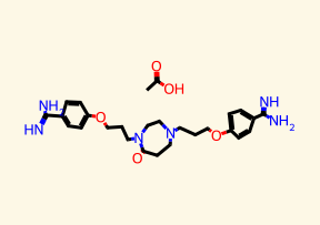 CC(=O)O.N=C(N)c1ccc(OCCCN2CCC(=O)N(CCCOc3ccc(C(=N)N)cc3)CC2)cc1